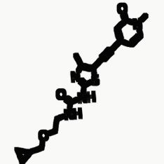 Cc1nc(NC(=O)NCCOCC2CC2)sc1C#Cc1ccn(C)c(=O)c1